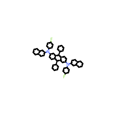 Fc1ccc(N(c2ccc3ccccc3c2)c2ccc3c(-c4ccccc4)c4cc(N(c5ccc(F)cc5)c5ccc6ccccc6c5)ccc4c(-c4ccccc4)c3c2)cc1